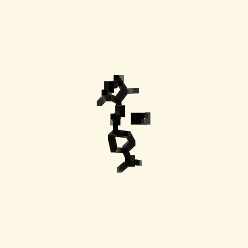 Cc1nnn(C)c1N=Nc1ccc(N(C)C)cc1.Cl